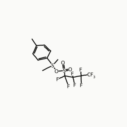 Cc1ccc(S(C)(C)OS(=O)(=O)C(F)(F)C(F)(F)C(F)(F)C(F)(F)F)cc1